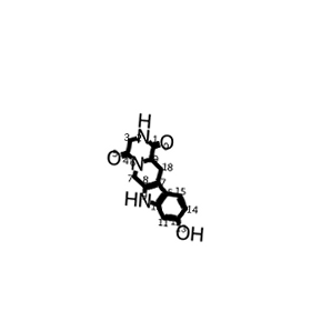 O=C1NCC(=O)N2Cc3[nH]c4cc(O)ccc4c3CC12